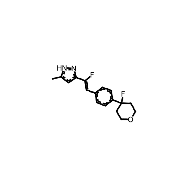 Cc1cc(C(F)=Cc2ccc(C3(F)CCOCC3)cc2)n[nH]1